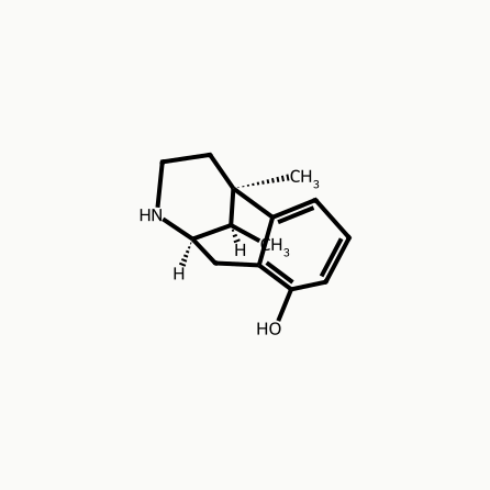 C[C@H]1[C@H]2Cc3c(O)cccc3[C@]1(C)CCN2